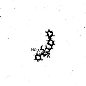 CC(NC(=O)C(Cc1ccc(-c2ccccc2)cc1)CP(=O)(O)CCc1ccccc1)C(=O)O